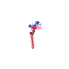 CCCOCCOCCOCCOCCOc1ccc(-c2ccc([C@H](CC(=O)O)NC(=O)[C@H](Cc3ccccc3)NC(=O)CCCNc3cc(C)ccn3)cc2)c2ccccc12